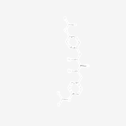 O=C(C(Br)Cc1ccc(OC(F)F)cc1)C(Br)Cc1ccc(OC(F)F)cc1